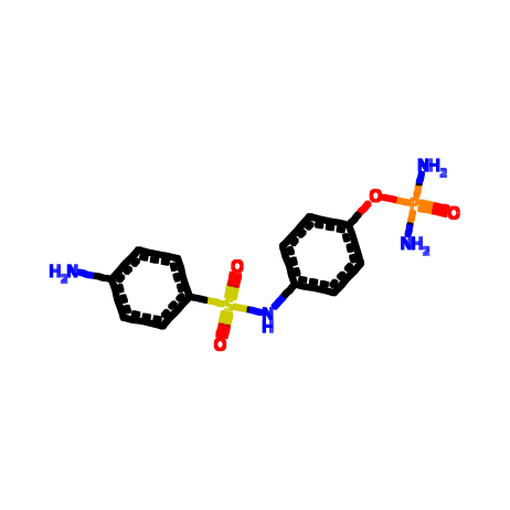 Nc1ccc(S(=O)(=O)Nc2ccc(OP(N)(N)=O)cc2)cc1